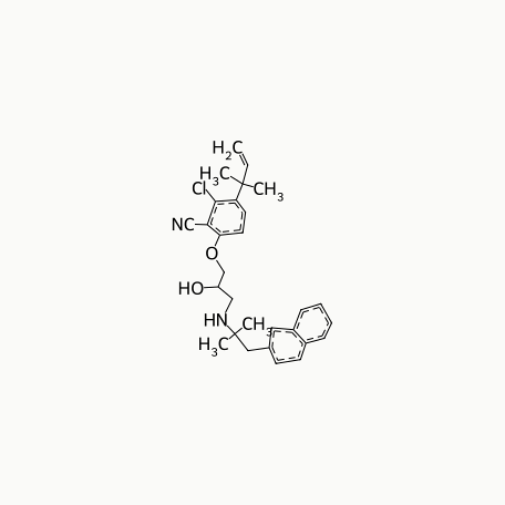 C=CC(C)(C)c1ccc(OCC(O)CNC(C)(C)Cc2ccc3ccccc3c2)c(C#N)c1Cl